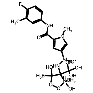 BC1(O)OO[PH](B)(O)C1(N[S+]([O-])c1cc(C(=O)Nc2ccc(F)c(C)c2)n(C)c1)C(O)(O)O